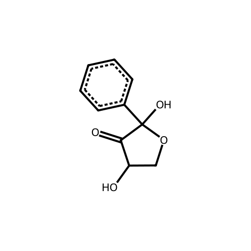 O=C1C(O)COC1(O)c1ccccc1